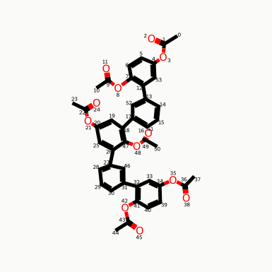 CC(=O)Oc1ccc(OC(C)=O)c(-c2cccc(-c3cc(OC(C)=O)cc(-c4cccc(-c5cc(OC(C)=O)ccc5OC(C)=O)c4)c3OC(C)=O)c2)c1